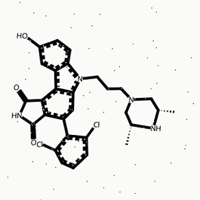 C[C@@H]1CN(CCCn2c3ccc(O)cc3c3c4c(c(-c5c(Cl)cccc5Cl)cc32)C(=O)NC4=O)C[C@H](C)N1